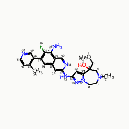 COCC1(O)CN(C)CCn2nc(Nc3cc4cc(-c5cnccc5C)c(F)c(N)c4cn3)cc21